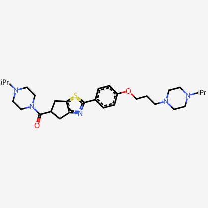 CC(C)N1CCN(CCCOc2ccc(-c3nc4c(s3)CC(C(=O)N3CCN(C(C)C)CC3)C4)cc2)CC1